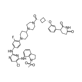 CS(=O)(=O)N1CCc2cccc(Nc3nc(Nc4ccc(N5CCC(N6CCN(C(=O)[C@H]7C[C@@H](Oc8cccc(C9CCC(=O)NC9=O)c8)C7)CC6)CC5)c(F)c4)ncc3Cl)c21